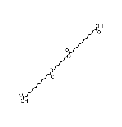 O=C(O)CCCCCCCCCCC(=O)OCCCCCCOC(=O)CCCCCCCCCCC(=O)O